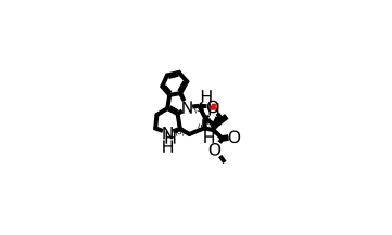 C=C[C@@H]1[C@@H]2C[C@@H]3NCCc4c3n(c3ccccc43)[C@H]1OC=C2C(=O)OC